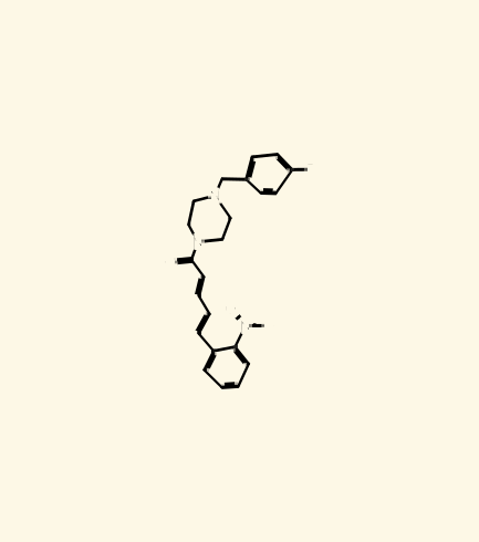 O=C(C=CC=Cc1ccccc1[N+](=O)[O-])N1CCN(Cc2ccc(F)cc2)CC1